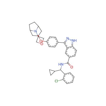 O=C(NC(c1ccccc1Cl)C1CC1)c1ccc2[nH]nc(-c3ccc(OC4CC5CCC(C4)N5C4COC4)cc3)c2c1